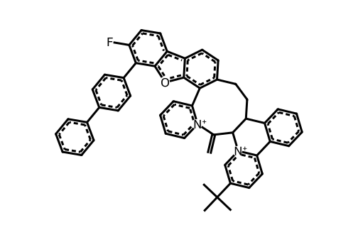 C=C1C2C(CCc3ccc4c(oc5c(-c6ccc(-c7ccccc7)cc6)c(F)ccc54)c3-c3cccc[n+]31)c1ccccc1-c1ccc(C(C)(C)C)c[n+]12